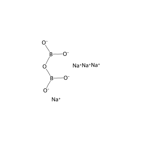 [Na+].[Na+].[Na+].[Na+].[O-]B([O-])OB([O-])[O-]